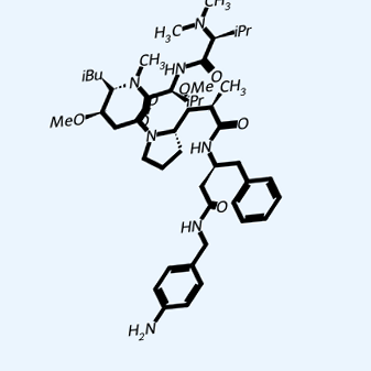 CC[C@H](C)[C@@H]([C@@H](CC(=O)N1CCC[C@H]1[C@H](OC)[C@@H](C)C(=O)N[C@H](CC(=O)NCc1ccc(N)cc1)Cc1ccccc1)OC)N(C)C(=O)[C@@H](NC(=O)[C@H](C(C)C)N(C)C)C(C)C